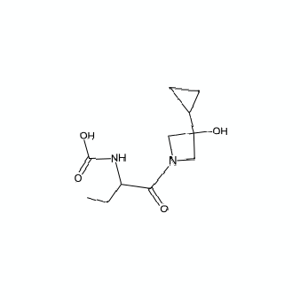 CCC(NC(=O)O)C(=O)N1CC(O)(C2CC2)C1